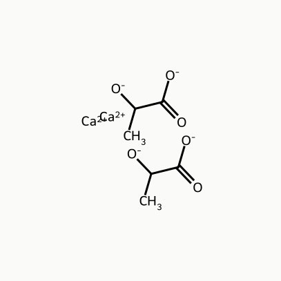 CC([O-])C(=O)[O-].CC([O-])C(=O)[O-].[Ca+2].[Ca+2]